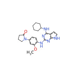 COc1cc(N2CCCC2=O)ccc1Nc1nc(NC2CCCCC2)c2cc[nH]c2n1